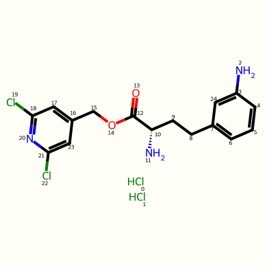 Cl.Cl.Nc1cccc(CC[C@H](N)C(=O)OCc2cc(Cl)nc(Cl)c2)c1